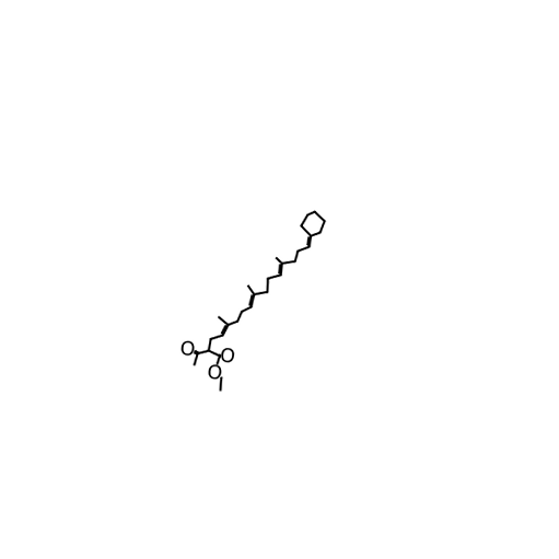 CCOC(=O)C(C/C=C(\C)CC/C=C(\C)CC/C=C(\C)CCC=C1CCCCC1)C(C)=O